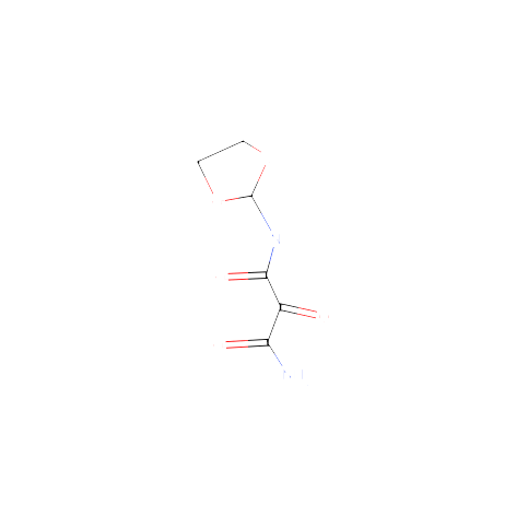 NC(=O)C(=O)C(=O)NC1OCCO1